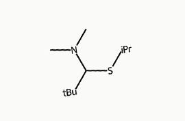 CC(C)SC(N(C)C)C(C)(C)C